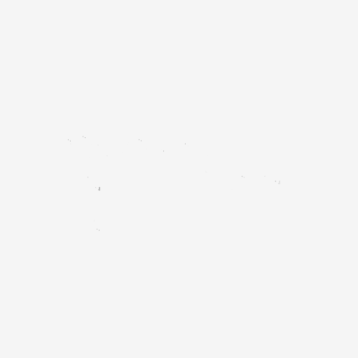 CCCc1cc(C)[nH]c(=O)c1CNC(=O)c1cc(-c2ccc(N3CCN(Cc4cc5c(cc4F)C(=O)N(C4CCC(=O)NC4=O)C5)CC3)nc2)cc2c1cnn2C(C)C